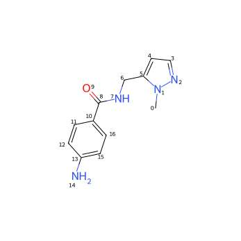 Cn1nccc1CNC(=O)c1ccc(N)cc1